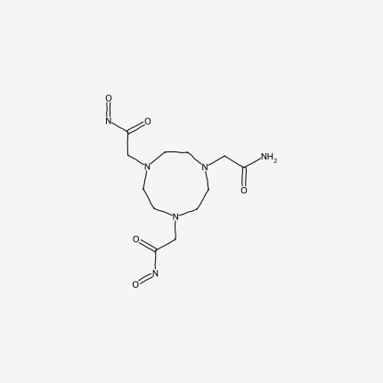 NC(=O)CN1CCN(CC(=O)N=O)CCN(CC(=O)N=O)CC1